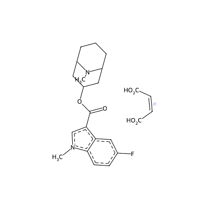 CN1C2CCCC1CC(OC(=O)c1cn(C)c3ccc(F)cc13)C2.O=C(O)/C=C\C(=O)O